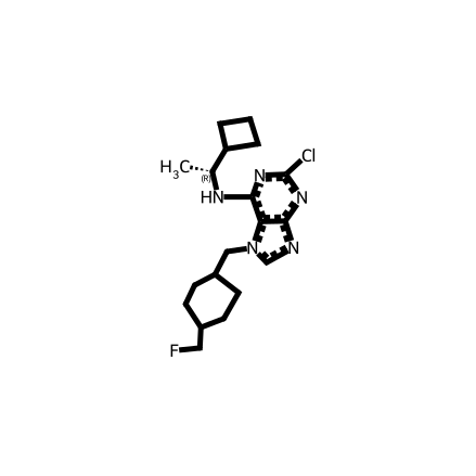 C[C@@H](Nc1nc(Cl)nc2ncn(CC3CCC(CF)CC3)c12)C1CCC1